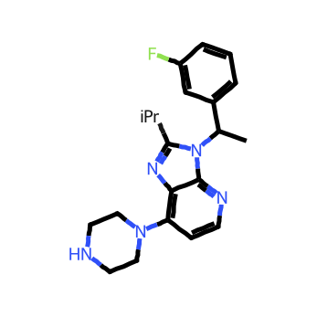 CC(C)c1nc2c(N3CCNCC3)ccnc2n1C(C)c1cccc(F)c1